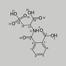 O=C(O)c1ccccc1C(=O)NC(CS(=O)(=O)O)C(=O)O